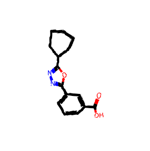 O=C(O)c1cccc(-c2nnc(C3CCCCC3)o2)c1